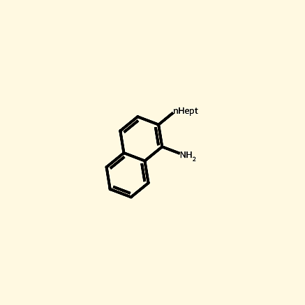 CCCCCCCc1ccc2ccccc2c1N